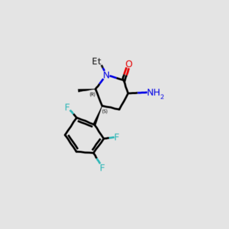 CCN1C(=O)C(N)C[C@@H](c2c(F)ccc(F)c2F)[C@H]1C